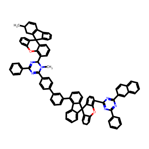 CC1C=CC2=C(C1)C1(c3ccccc3Oc3c(C4N=C(c5ccccc5)N=C(c5ccc(-c6cccc(-c7cccc8c7-c7ccccc7C87C8=CCCC=C8Oc8c(-c9nc(-c%10ccccc%10)nc(-c%10ccc%11ccccc%11c%10)n9)cccc87)c6)cc5)N4C)cccc31)c1ccccc12